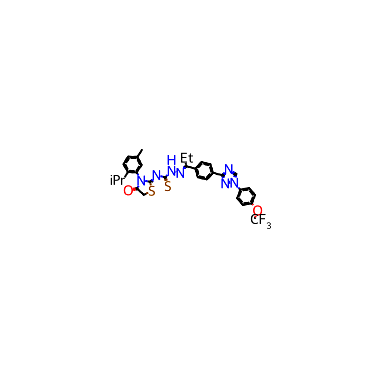 CC/C(=N\NC(=S)/N=C1\SCC(=O)N1c1cc(C)ccc1C(C)C)c1ccc(-c2ncn(-c3ccc(OC(F)(F)F)cc3)n2)cc1